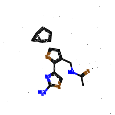 CC(=S)NCc1ccsc1-c1csc(N)n1.c1cc2cc-2c1